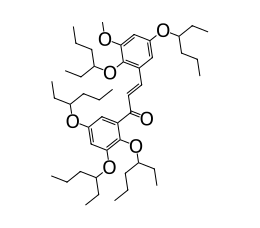 CCCC(CC)Oc1cc(C=CC(=O)c2cc(OC(CC)CCC)cc(OC(CC)CCC)c2OC(CC)CCC)c(OC(CC)CCC)c(OC)c1